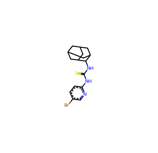 S=C(Nc1ccc(Br)cn1)NC1C2CC3CC(C2)CC1C3